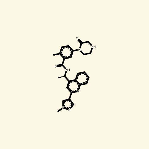 Cc1ccc(N2CCNCC2=O)cc1C(=O)N[C@H](C)c1cc(-c2cnn(C)c2)nc2ccccc12